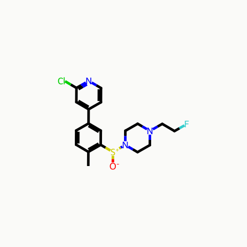 Cc1ccc(-c2ccnc(Cl)c2)cc1[S+]([O-])N1CCN(CCF)CC1